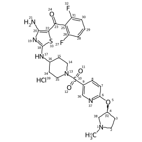 CN1CC[C@H](Oc2ccc(S(=O)(=O)N3CCC(Nc4nc(N)c(C(=O)c5c(F)cccc5F)s4)CC3)cn2)C1.Cl